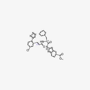 COC(=O)c1ccn2nc(NC(=O)[C@H](Cc3ccccc3)NC(=O)/C=C/c3cc(Cl)ccc3-n3cnnn3)nc2c1